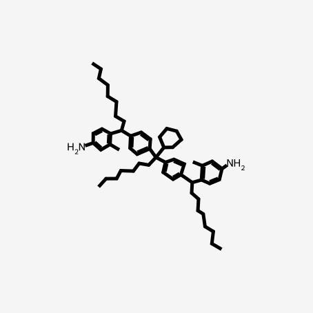 CCCCCCCCC(c1ccc(C(CCCCCCC)(c2ccc(C(CCCCCCCC)c3ccc(N)cc3C)cc2)C2CCCCC2)cc1)c1ccc(N)cc1C